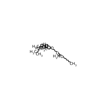 CCCCCCCCOC[C@@H](N)COCCCCO[C@H]1CC[C@@]2(C)C(=CC[C@@H]3[C@@H]2CC[C@]2(C)C([C@H](C)CCCC(C)C)CC[C@@H]32)C1